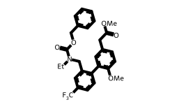 CCN(Cc1cc(C(F)(F)F)ccc1-c1cc(CC(=O)OC)ccc1OC)C(=O)OCc1ccccc1